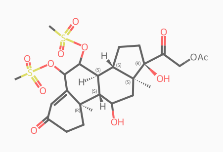 CC(=O)OCC(=O)[C@@]1(O)CC[C@H]2[C@@H]3C(OS(C)(=O)=O)C(OS(C)(=O)=O)C4=CC(=O)CC[C@]4(C)[C@H]3C(O)C[C@@]21C